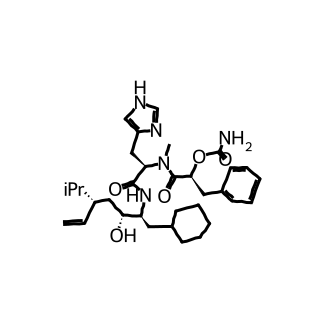 C=C[C@@H](C[C@@H](O)[C@H](CC1CCCCC1)NC(=O)[C@@H](Cc1c[nH]cn1)N(C)C(=O)[C@H](Cc1ccccc1)OC(N)=O)C(C)C